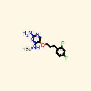 CCCCNc1nc(N)ncc1OCCCc1ccc(F)cc1F